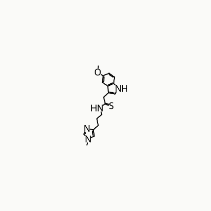 COc1ccc2[nH]cc(CC(=S)NCCCc3cn(C)cn3)c2c1